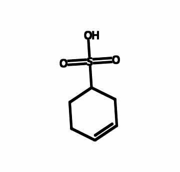 O=S(=O)(O)C1CC=CCC1